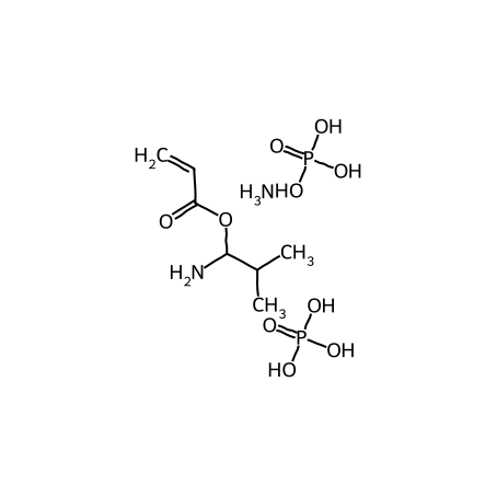 C=CC(=O)OC(N)C(C)C.N.O=P(O)(O)O.O=P(O)(O)O